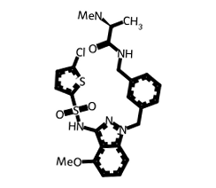 CN[C@@H](C)C(=O)NCc1cccc(Cn2nc(NS(=O)(=O)c3ccc(Cl)s3)c3c(OC)cccc32)c1